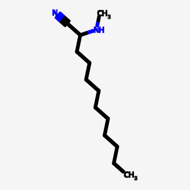 CCCCCCCCCCC(C#N)NC